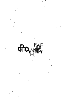 C=C(NCN(CCC)Cc1c(F)cc(F)cc1F)c1ccc(-c2cccc3cccnc23)cc1